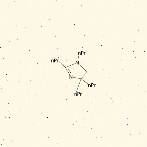 CCCC1=NC(CCC)(CCC)CN1CCC